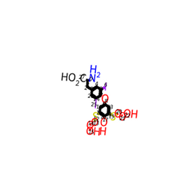 NC(Cc1cc(I)c(Oc2cc(SOOO)c(O)c(SOOO)c2)c(I)c1)C(=O)O